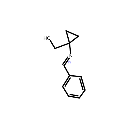 OCC1(/N=C/c2ccccc2)CC1